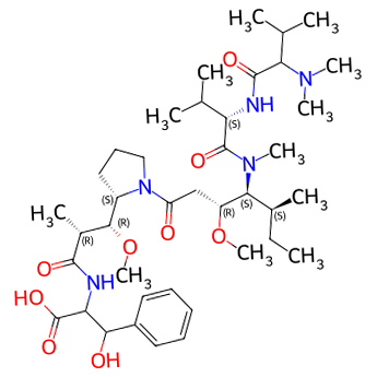 CC[C@H](C)[C@@H]([C@@H](CC(=O)N1CCC[C@H]1[C@H](OC)[C@@H](C)C(=O)NC(C(=O)O)C(O)c1ccccc1)OC)N(C)C(=O)[C@@H](NC(=O)C(C(C)C)N(C)C)C(C)C